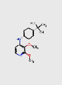 COc1nccc(N[C@H]2CC[C@@H](C(C)(C)C)CC2)c1OC